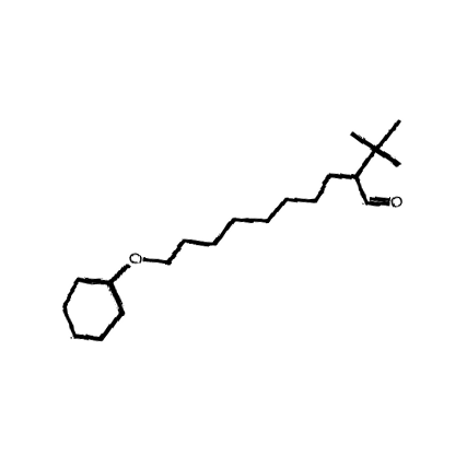 CC(C)(C)C([C]=O)CCCCCCCCOC1CC[CH]CC1